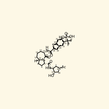 CC(=O)N1C[C@H](NC(=O)[C@@H]2CC[C@@H]3CCC[C@H](NC(=O)c4cc5cc(C(F)(F)P(=O)(O)O)ccc5s4)C(=O)N32)[C@@H](O)C1